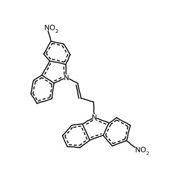 O=[N+]([O-])c1ccc2c(c1)c1ccccc1n2C=CCn1c2ccccc2c2cc([N+](=O)[O-])ccc21